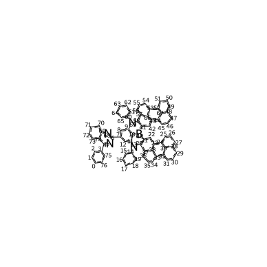 c1ccc(-c2nc(-c3cc4c5c(c3)N(c3ccccc3)c3c(cc6c7cccc8cccc(c9cccc3c96)c87)B5c3cc5c6cccc7cccc(c8cccc(c3N4c3ccccc3)c85)c76)nc3ccccc23)cc1